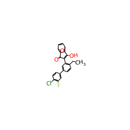 CCc1ccc(-c2ccc(Cl)c(F)c2)cc1C1=C(O)c2c(c3ccc2o3)C1=O